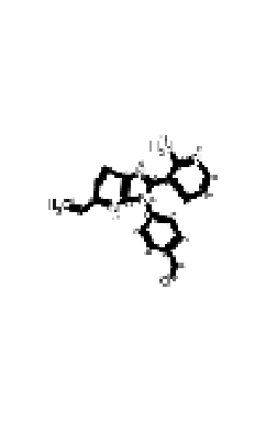 C=Cc1ccc2nc(-c3cccnc3N)n(-c3ccc(CCl)cc3)c2n1